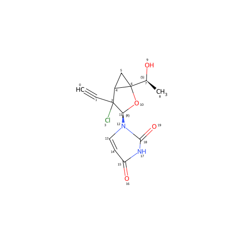 C#CC1(Cl)C2CC2([C@H](C)O)O[C@H]1n1ccc(=O)[nH]c1=O